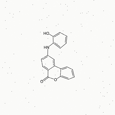 O=c1oc2ccccc2c2cc(Nc3ccccc3O)ccc12